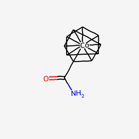 NC(=O)[C]12[CH]3[CH]4[CH]5[CH]1[Co]45321678[CH]2[CH]1[CH]6[CH]7[CH]28